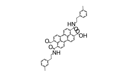 Cc1cccc(CCNC(=O)c2ccc3c4ccc(C(=O)O)c5c(C(=O)NCCc6cccc(C)c6)ccc(c6ccc(C=O)c2c36)c54)c1